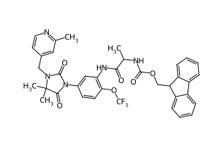 Cc1cc(CN2C(=O)N(c3ccc(OC(F)(F)F)c(NC(=O)C(C)NC(=O)OCC4c5ccccc5-c5ccccc54)c3)C(=O)C2(C)C)ccn1